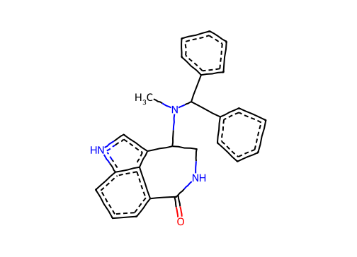 CN(C1CNC(=O)c2cccc3[nH]cc1c23)C(c1ccccc1)c1ccccc1